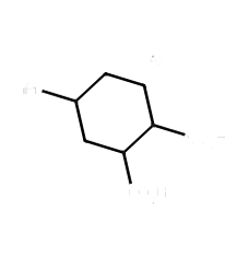 CC(C)C1CCC(C(=O)O)C(C(=O)O)C1.[Al]